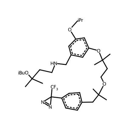 CC(C)COC(C)(C)CCNCc1cc(OC(C)C)cc(OC(C)(C)CCOC(C)(C)Cc2ccc(C3(C(F)(F)F)N=N3)cc2)c1